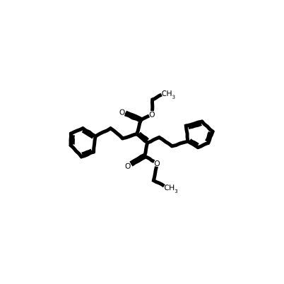 CCOC(=O)C(CCc1ccccc1)=C(CCc1ccccc1)C(=O)OCC